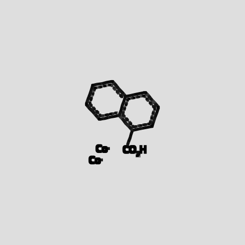 O=C(O)c1cccc2ccccc12.[Co].[Co]